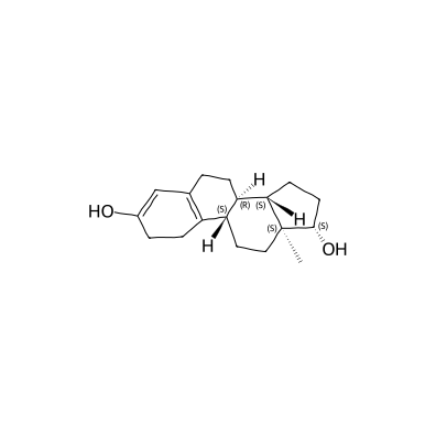 C[C@]12CC[C@@H]3C4=C(C=C(O)CC4)CC[C@H]3[C@@H]1CC[C@@H]2O